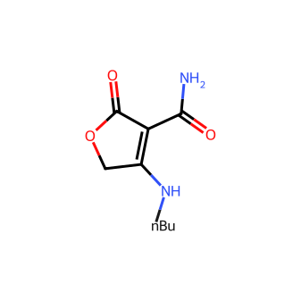 CCCCNC1=C(C(N)=O)C(=O)OC1